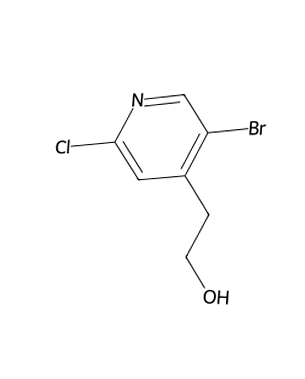 OCCc1cc(Cl)ncc1Br